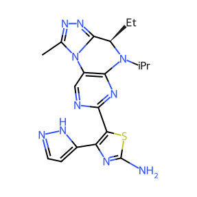 CC[C@@H]1c2nnc(C)n2-c2cnc(-c3sc(N)nc3-c3ccn[nH]3)nc2N1C(C)C